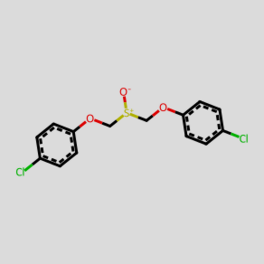 [O-][S+](COc1ccc(Cl)cc1)COc1ccc(Cl)cc1